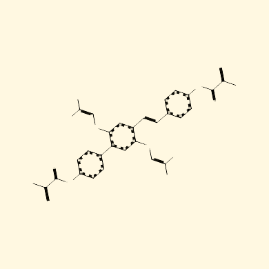 C=C(C)C(=O)Oc1ccc(/C=C/c2cc(OC=C(F)F)c(-c3ccc(OC(=O)C(=C)C)cc3)cc2OC=C(F)F)cc1